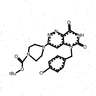 CC(C)(C)OC(=O)N1CCN(c2cc3c(nn2)c(=O)[nH]c(=O)n3Cc2ccc(Cl)cc2)CC1